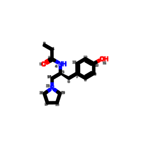 CCC(=O)N[C@@H](Cc1ccc(O)cc1)CN1CCCC1